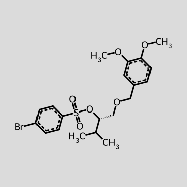 COc1ccc(COC[C@@H](OS(=O)(=O)c2ccc(Br)cc2)C(C)C)cc1OC